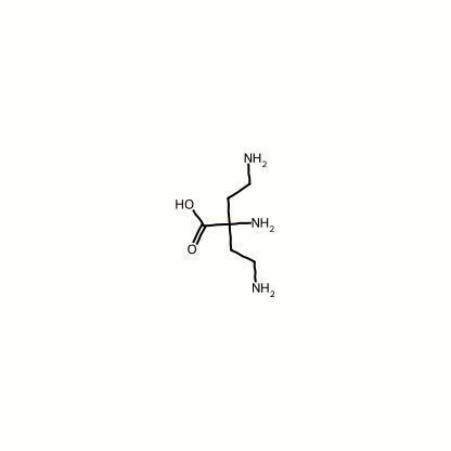 NCCC(N)(CCN)C(=O)O